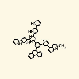 Cc1ccc2c(-c3ccnc(-c4cc(-c5nc(C6=CC=C(C7=CC=CCN7)CN6)nc(C6C=CC(C7C=CC=CN7)=CN6)n5)cc(-c5cc6ccccc6c6ccccc56)c4)c3)cccc2n1